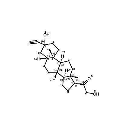 C#C[C@@]1(O)CC[C@@]2(C)[C@H](CC[C@@H]3[C@@H]2CC[C@]2(C)[C@@H](C(=O)CO)CC[C@@H]32)C1